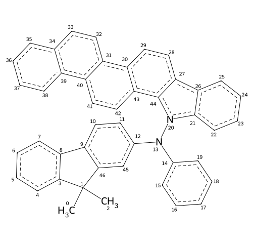 CC1(C)c2ccccc2-c2ccc(N(c3ccccc3)n3c4ccccc4c4ccc5c6ccc7ccccc7c6ccc5c43)cc21